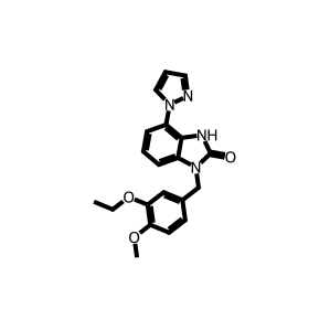 CCOc1cc(Cn2c(=O)[nH]c3c(-n4cccn4)cccc32)ccc1OC